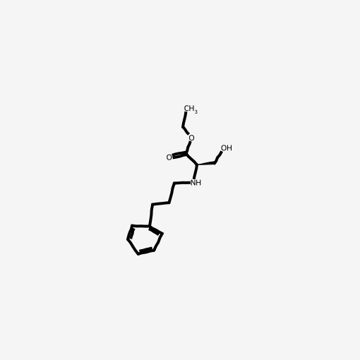 CCOC(=O)[C@@H](CO)NCCCc1ccccc1